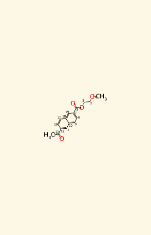 COCCOC(=O)c1ccc2cc(C(C)=O)ccc2c1